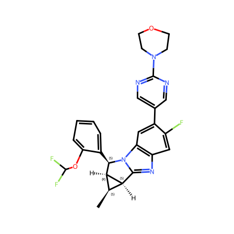 C[C@@H]1[C@@H]2c3nc4cc(F)c(-c5cnc(N6CCOCC6)nc5)cc4n3[C@H](c3ccccc3OC(F)F)[C@H]12